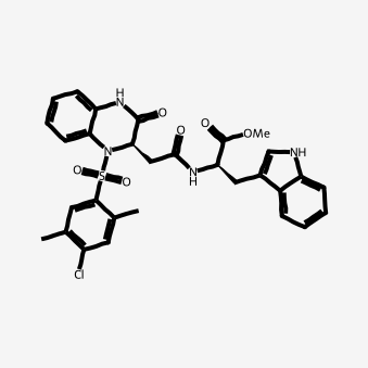 COC(=O)[C@@H](Cc1c[nH]c2ccccc12)NC(=O)C[C@@H]1C(=O)Nc2ccccc2N1S(=O)(=O)c1cc(C)c(Cl)cc1C